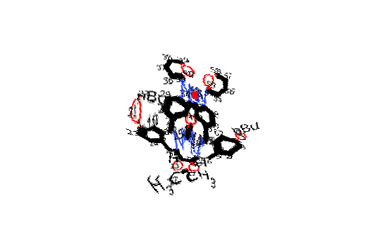 CCCCOc1ccc(C[C@@H]2[C@@H]3OC(C)(C)O[C@H]3[C@@H](Cc3ccc(OCCCC)cc3)N(Cc3ccc4c(cnn4C4CCCCO4)c3)C(=O)N2Cc2ccc3c(cnn3C3CCCCO3)c2)cc1